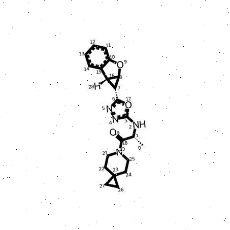 C[C@@H](Nc1nnc([C@H]2C3Oc4ccccc4[C@H]32)o1)C(=O)N1CCC2(CC1)CC2